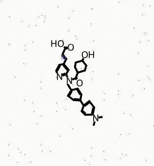 CN(C)c1ccc(-c2ccc(CN(C(=O)C3CCC(O)CC3)c3cc(/C=C/C(=O)O)ccn3)cc2)cc1